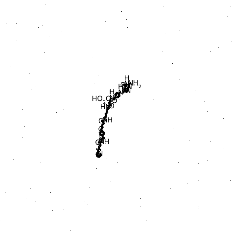 C/C(=N\NC(=O)CCSSc1ccccn1)c1ccc(OCCCC(=O)NCCCCCCNC(=O)CCC(NC(=O)c2ccc(NCc3cnc4nc(N)[nH]c(=O)c4n3)cc2)C(=O)O)cc1